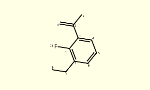 C=C(C)c1cccc(CC)c1F